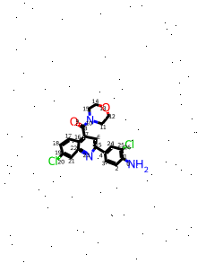 Nc1ccc(-c2cc(C(=O)N3CCOCC3)c3ccc(Cl)cc3n2)cc1Cl